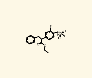 CCOC(=O)C(Cc1ccccc1)c1ccc(NS(C)(=O)=O)c(F)c1